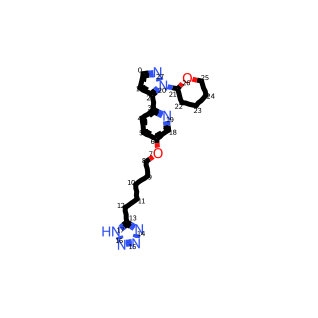 c1cc(-c2ccc(OCCCCCc3nnn[nH]3)cn2)n(C2CCCCO2)n1